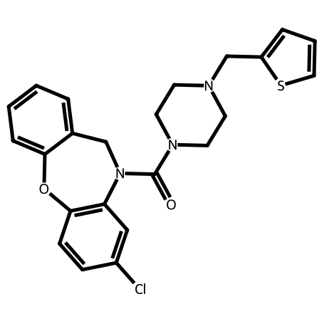 O=C(N1CCN(Cc2cccs2)CC1)N1Cc2ccccc2Oc2ccc(Cl)cc21